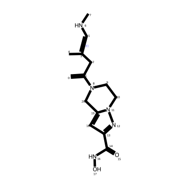 C=C(C/C(C)=C/NC)N1CCn2nc(C(=O)NO)cc2C1